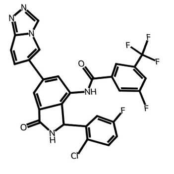 O=C(Nc1cc(-c2ccc3nncn3c2)cc2c1C(c1cc(F)ccc1Cl)NC2=O)c1cc(F)cc(C(F)(F)F)c1